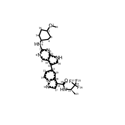 COC1CCC(Nc2ncc3c(-c4ccn5ncc(C(=O)N[C@H](C)C(F)(F)F)c5c4)c[nH]c3n2)CC1